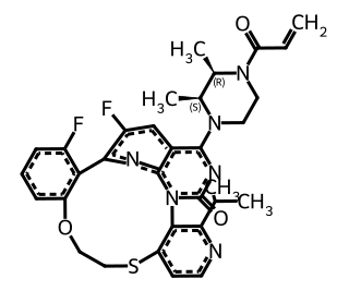 C=CC(=O)N1CCN(c2nc(=O)n3c4nc(c(F)cc24)-c2c(F)cccc2OCCSc2ccnc(C(C)C)c2-3)[C@@H](C)[C@H]1C